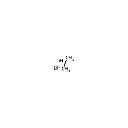 CC.[LiH].[LiH]